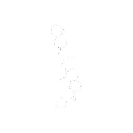 O=C1c2cc(N[C@@H]3CCOC3)ccc2CCN1C[C@@H](O)CN1CCc2ccccc2C1